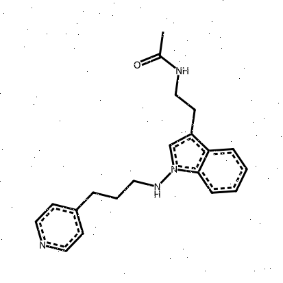 CC(=O)NCCc1cn(NCCCc2ccncc2)c2ccccc12